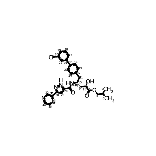 CC(C)COC(=O)[C@H](O)C[C@@H](Cc1ccc(-c2cccc(Cl)c2)cc1)NC(=O)c1cc(-c2cnccn2)n[nH]1